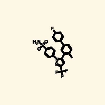 Cc1ccc(-c2ccc(F)cc2)cc1-c1cc(C(F)(F)F)nn1-c1ccc(S(N)(=O)=O)cc1